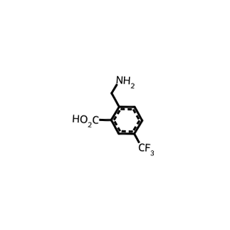 NCc1ccc(C(F)(F)F)cc1C(=O)O